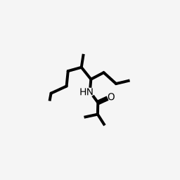 CCCCC(C)C(CCC)NC(=O)C(C)C